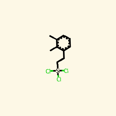 Cc1cccc(CC[Si](Cl)(Cl)Cl)c1C